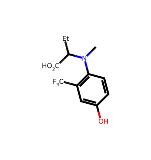 CCC(C(=O)O)N(C)c1ccc(O)cc1C(F)(F)F